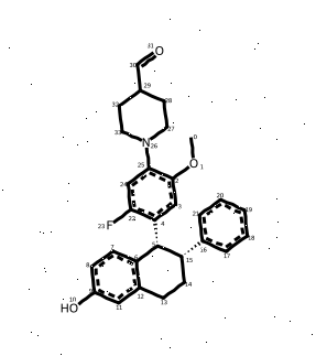 COc1cc([C@H]2c3ccc(O)cc3CC[C@H]2c2ccccc2)c(F)cc1N1CCC(C=O)CC1